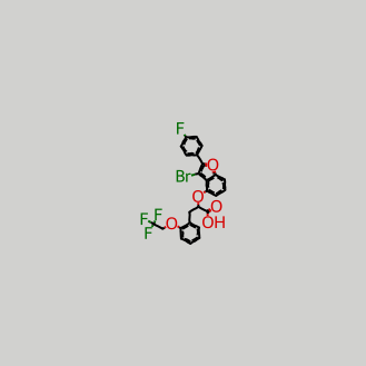 O=C(O)C(Cc1ccccc1OCC(F)(F)F)Oc1cccc2oc(-c3ccc(F)cc3)c(Br)c12